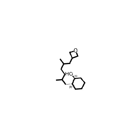 CC(CCC(C)C[C@H]1CCCC[C@@H]1O)CC1COC1